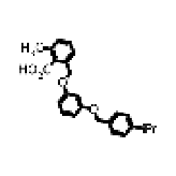 Cc1cccc(COc2cccc(OCc3ccc(C(C)C)cc3)c2)c1C(=O)O